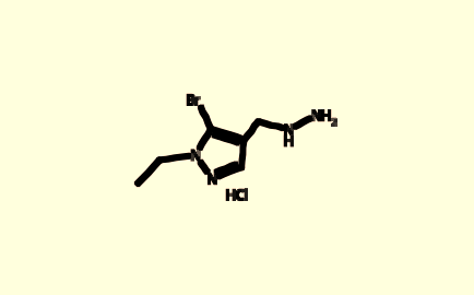 CCn1ncc(CNN)c1Br.Cl